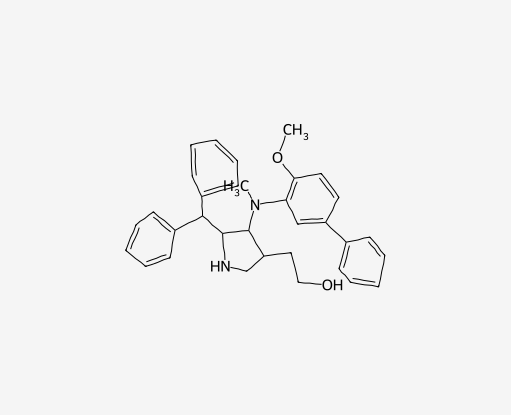 COc1ccc(-c2ccccc2)cc1N(C)C1C(CCO)CNC1C(c1ccccc1)c1ccccc1